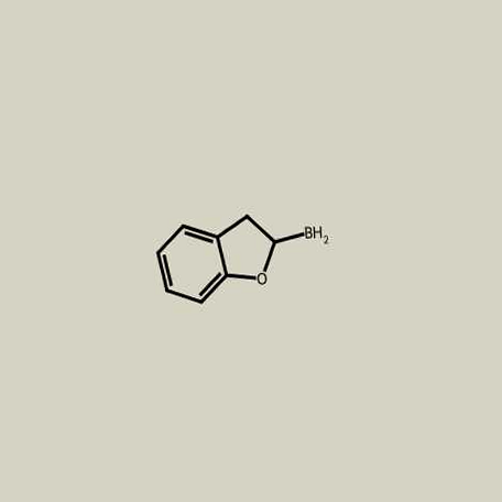 BC1Cc2ccccc2O1